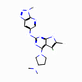 CCc1[nH]c2nc(Nc3cnc4c(c3)nnn4C(C)C)nc(N3CC[C@H](N(C)C)C3)c2c1Cl